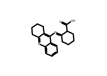 O=C(O)C1CCCCC1=Nc1c2c(nc3ccccc13)CCCC2